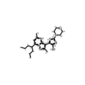 CCCC(CCC)c1cc(C)nc2c(-c3sc(N4CCOCC4)nc3Br)c(C)nn12